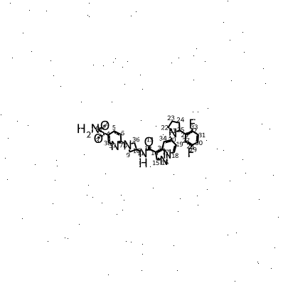 NS(=O)(=O)c1ccc(N2CC(NC(=O)c3cnn4ccc(N5CCCC5c5cc(F)ccc5F)cc34)C2)nc1